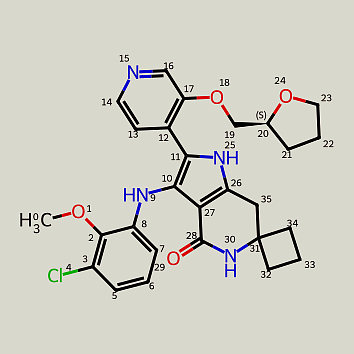 COc1c(Cl)cccc1Nc1c(-c2ccncc2OC[C@@H]2CCCO2)[nH]c2c1C(=O)NC1(CCC1)C2